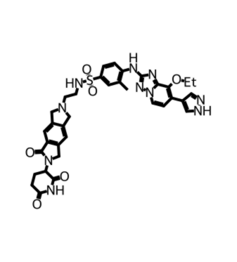 CCOc1c(-c2cn[nH]c2)ccn2nc(Nc3ccc(S(=O)(=O)NCCN4Cc5cc6c(cc5C4)C(=O)N(C4CCC(=O)NC4=O)C6)cc3C)nc12